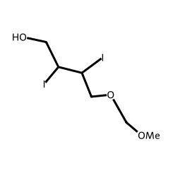 COCOCC(I)C(I)CO